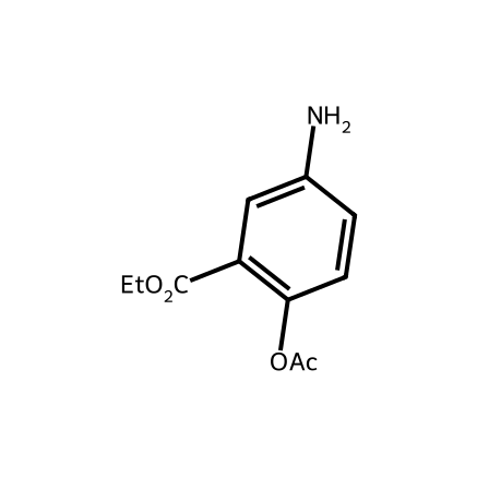 CCOC(=O)c1cc(N)ccc1OC(C)=O